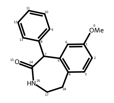 COc1ccc2c(c1)C(c1ccccc1)C(=O)NCC2